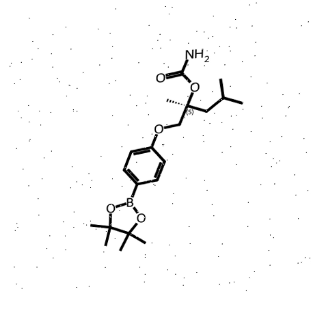 CC(C)C[C@@](C)(COc1ccc(B2OC(C)(C)C(C)(C)O2)cc1)OC(N)=O